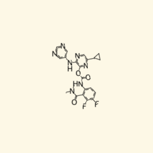 CN(C)C(=O)c1c(NC(=O)Oc2nc(C3CC3)cnc2Nc2cncnc2)ccc(F)c1F